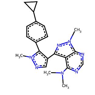 CN(C)c1ncnc2c1c(-c1cnn(C)c1-c1ccc(C3CC3)cc1)nn2C